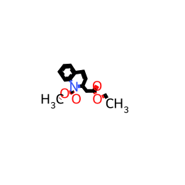 CCOC(=O)CC1C=Cc2ccccc2N1C(=O)OC